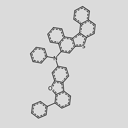 c1ccc(-c2cccc3c2oc2cc(N(c4ccccc4)c4cc5sc6ccc7ccccc7c6c5c5ccccc45)ccc23)cc1